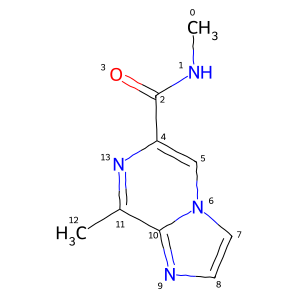 CNC(=O)c1cn2ccnc2c(C)n1